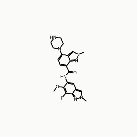 COc1c(NC(=O)c2ccc(N3CCNCC3)c3cn(C)nc23)cc2cn(C)nc2c1F